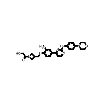 Nc1cc(-c2ccnc(Nc3ccc(N4CCOCC4)cc3)n2)ccc1OCC1CN(C(=O)CO)C1